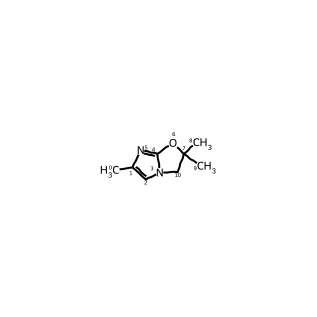 Cc1cn2c(n1)OC(C)(C)C2